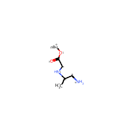 CCCCOC(=O)CNC(C)CN